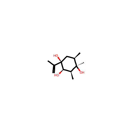 C=C(C)[C@]1(O)C[C@@H](C)[C@@](C)(O)[C@@H](C)[C@H]1O